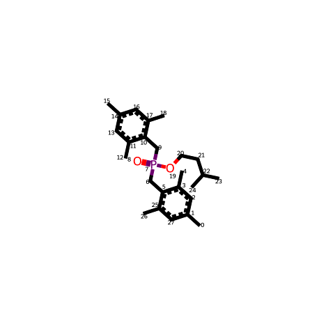 Cc1cc(C)c(CP(=O)(Cc2c(C)cc(C)cc2C)OCCC(C)C)c(C)c1